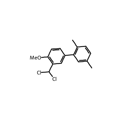 COc1ccc(-c2cc(C)ccc2C)cc1C(Cl)Cl